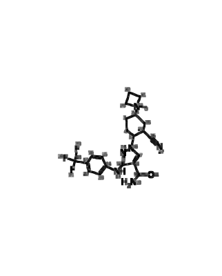 C[N+]1(C2CCC(n3cc(C(N)=O)c(Nc4ccc(C(F)(F)F)cc4)n3)C(C#N)C2)CCC1